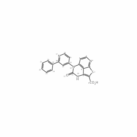 O=C(O)c1sc2nccc3c2c1NC(=O)N3c1ccnc(-c2ccccc2)c1